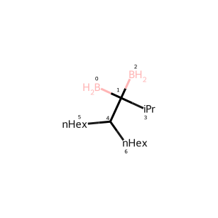 BC(B)(C(C)C)C(CCCCCC)CCCCCC